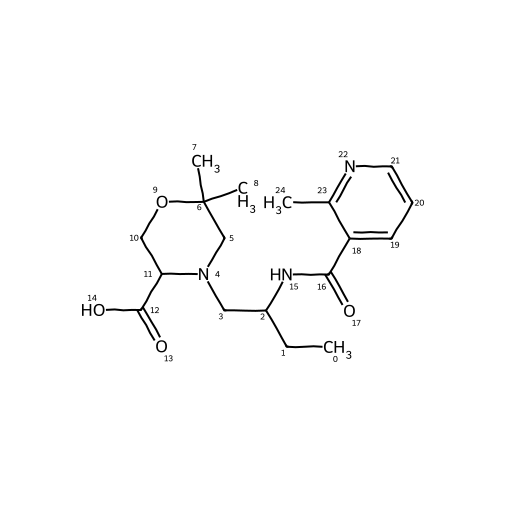 CCC(CN1CC(C)(C)OCC1C(=O)O)NC(=O)c1cccnc1C